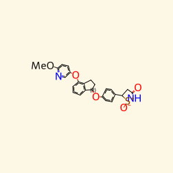 COc1ccc(Oc2cccc3c2CC[C@H]3Oc2ccc(C3CC(=O)N[S+]3[O-])cc2)cn1